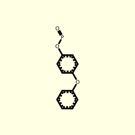 O=POc1ccc(Oc2ccccc2)cc1